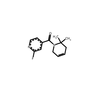 CC1(C)CC=CCN1C(=O)c1ccnc(F)c1